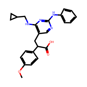 COc1ccc(C(Cc2cnc(Nc3ccccc3)nc2NCC2CC2)C(=O)O)cc1